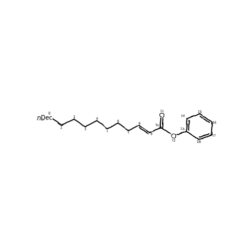 CCCCCCCCCCCCCCCCCC=CC(=O)Oc1ccccc1